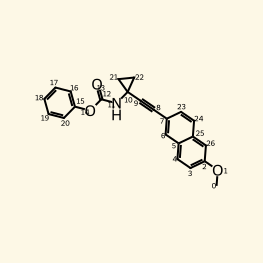 COc1ccc2cc(C#CC3(NC(=O)Oc4ccccc4)CC3)ccc2c1